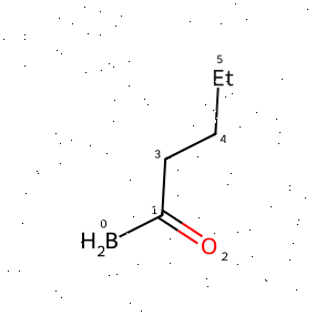 BC(=O)CCCC